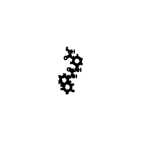 CNC(=O)c1cccc(NC(=O)Nc2ccnc3ccccc23)c1